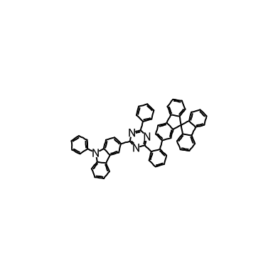 c1ccc(-c2nc(-c3ccc4c(c3)c3ccccc3n4-c3ccccc3)nc(-c3ccccc3-c3ccc4c(c3)C3(c5ccccc5-c5ccccc53)c3ccccc3-4)n2)cc1